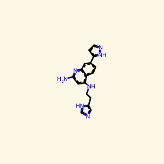 Nc1cc(NCCc2cnc[nH]2)c2ccc(-c3ccn[nH]3)cc2n1